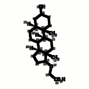 C[C@]12CCC(O)C[C@@H]1CCC1[C@@H]2CC[C@]2(C)[C@@H](OCC(=O)O)CC[C@@H]12